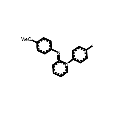 COc1ccc(N=c2ccccn2-c2ccc(I)cc2)cc1